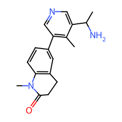 Cc1c(-c2ccc3c(c2)CCC(=O)N3C)cncc1C(C)N